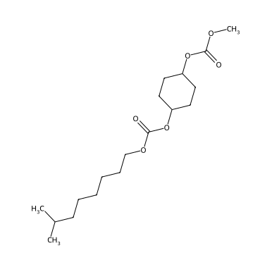 COC(=O)OC1CCC(OC(=O)OCCCCCCC(C)C)CC1